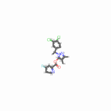 Cc1nn(C(C)c2ccc(Cl)c(Cl)c2)c(OC(=O)c2cc(F)ccn2)c1C